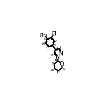 Clc1cc(-c2cnn(C3CCCCO3)c2)ccc1Br